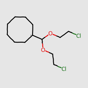 ClCCOC(OCCCl)[C]1CCCCCCC1